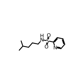 CC(C)CCCNS(=O)(=O)c1ccccn1